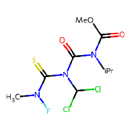 COC(=O)N(C(=O)N(C(=S)N(C)F)C(Cl)Cl)C(C)C